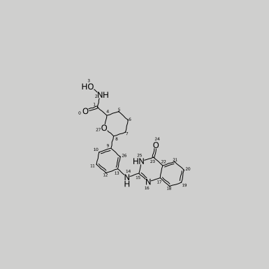 O=C(NO)C1CCCC(c2cccc(Nc3nc4ccccc4c(=O)[nH]3)c2)O1